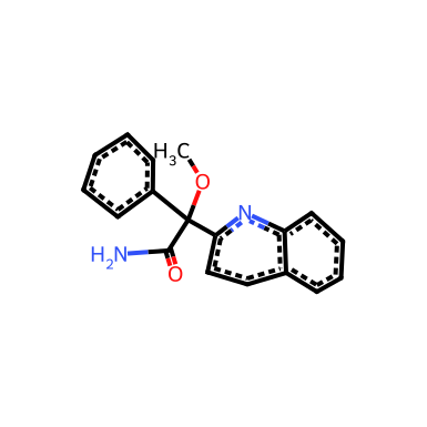 COC(C(N)=O)(c1ccccc1)c1ccc2ccccc2n1